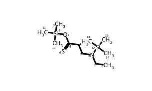 CCN(CCC(=S)O[Si](C)(C)C)[Si](C)(C)C